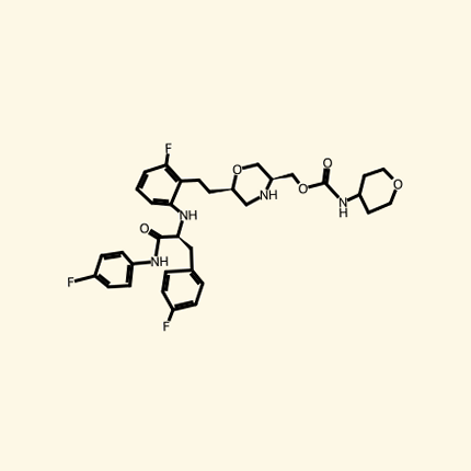 O=C(NC1CCOCC1)OC[C@@H]1CO[C@H](CCc2c(F)cccc2N[C@@H](Cc2ccc(F)cc2)C(=O)Nc2ccc(F)cc2)CN1